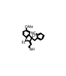 CCN1/C(=C\C=N)C(C)(Cc2ccccc2C#N)c2cc(OC)ccc21